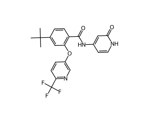 CC(C)(C)c1ccc(C(=O)Nc2cc[nH]c(=O)c2)c(Oc2ccc(C(F)(F)F)nc2)c1